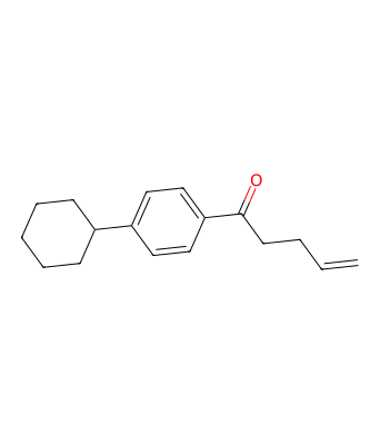 C=CCCC(=O)c1ccc(C2CCCCC2)cc1